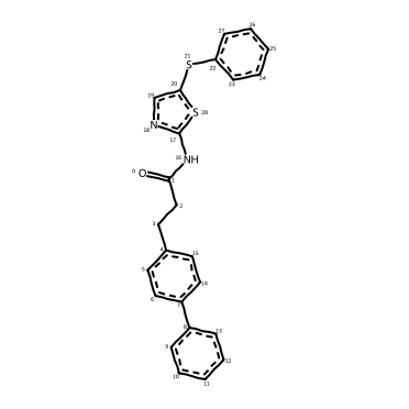 O=C(CCc1ccc(-c2ccccc2)cc1)Nc1ncc(Sc2ccccc2)s1